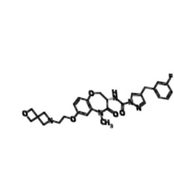 CN1C(=O)[C@@H](NC(=O)n2cc(Cc3cccc(F)c3)cn2)COc2ccc(OCCN3CC4(COC4)C3)cc21